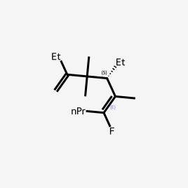 C=C(CC)C(C)(C)[C@H](CC)/C(C)=C(/F)CCC